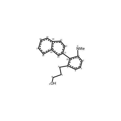 CNc1cccc(CCCO)c1-c1ccc2ccccc2c1